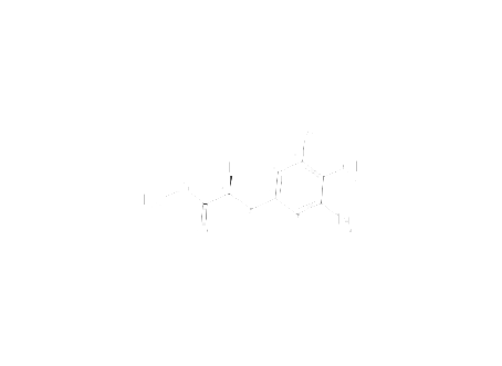 COC(=O)[C@@H](F)Cc1cc(Br)c(O)c(Br)c1